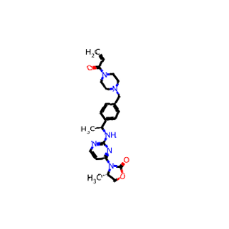 C=CC(=O)N1CCN(Cc2ccc([C@H](C)Nc3nccc(N4C(=O)OC[C@@H]4C)n3)cc2)CC1